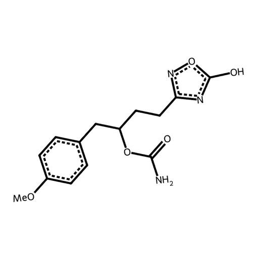 COc1ccc(CC(CCc2noc(O)n2)OC(N)=O)cc1